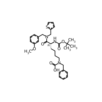 COc1cccc(CN(Cc2cccs2)C(=O)[C@@H](CCCCN(Cc2ccccc2)C(=O)O)NC(=O)OC(C)(C)C)c1